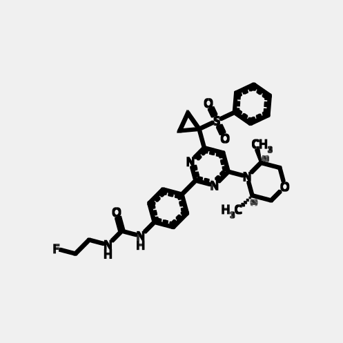 C[C@H]1COC[C@H](C)N1c1cc(C2(S(=O)(=O)c3ccccc3)CC2)nc(-c2ccc(NC(=O)NCCF)cc2)n1